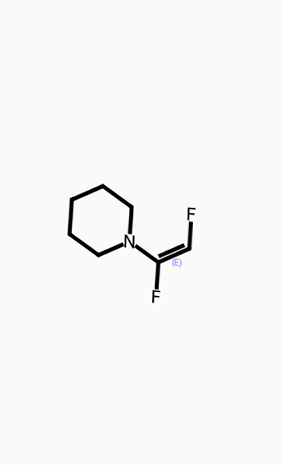 F/C=C(/F)N1CCCCC1